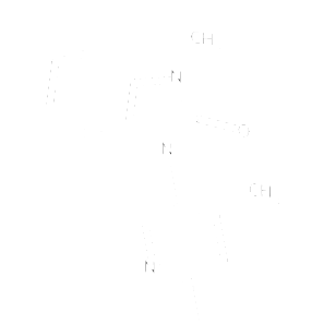 Cc1cc(F)ncc1-n1c(=O)n(C)c2ccccc21